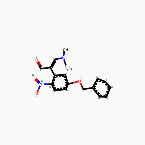 CN(C)/C=C(/C=O)c1cc(OCc2ccccc2)ccc1[N+](=O)[O-]